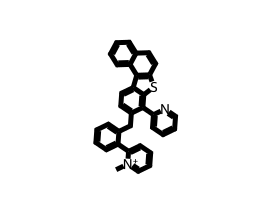 C[n+]1ccccc1-c1ccccc1Cc1ccc2c(sc3ccc4ccccc4c32)c1-c1ccccn1